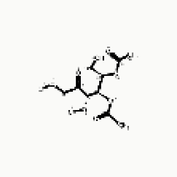 CC(=O)O[C@@H]([C@H](OCl)C(=O)COCl)[C@@H](CO)OC(C)=O